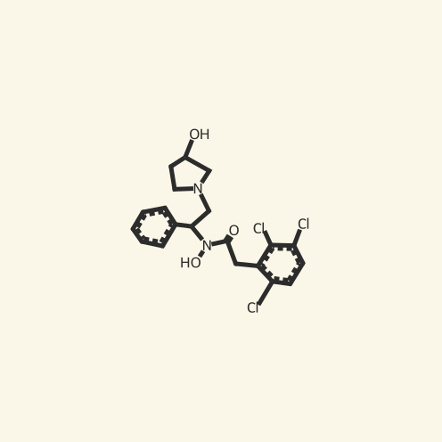 O=C(Cc1c(Cl)ccc(Cl)c1Cl)N(O)C(CN1CCC(O)C1)c1ccccc1